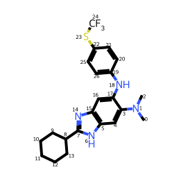 CN(C)c1cc2[nH]c(C3CCCCC3)nc2cc1Nc1ccc(SC(F)(F)F)cc1